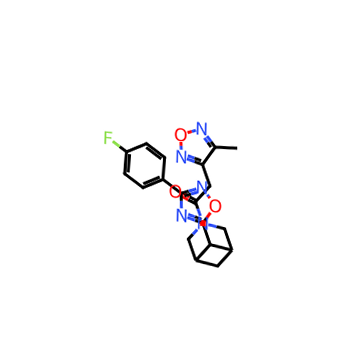 Cc1nonc1CC(=O)N1CC2CC(C1)C2c1nc(-c2ccc(F)cc2)no1